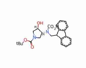 CC(C)(C)OC(=O)N1C[C@@H](O)[C@H](N(CC2c3ccccc3-c3ccccc32)C(=O)O)C1